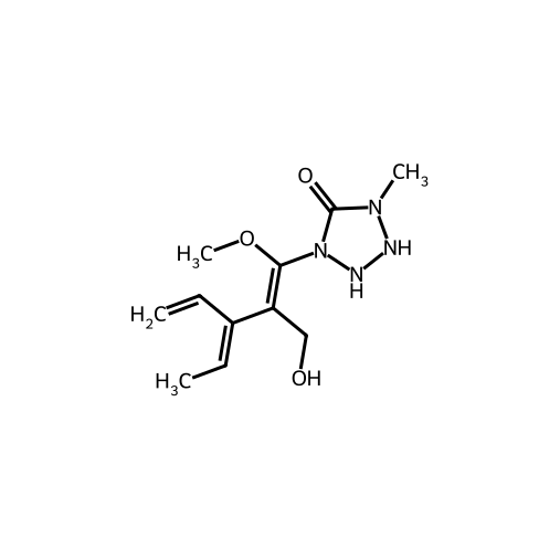 C=CC(=C\C)/C(CO)=C(\OC)N1NNN(C)C1=O